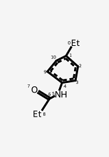 [CH2]Cc1ccc(NC(=O)CC)cc1